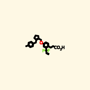 C=CC(F)(F)c1cc(OCC2=C(Cc3ccc(C)cc3)CCC2)ccc1CCC(=O)O